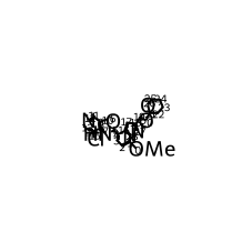 COc1ccc(C(=O)Nc2c(C)cncc2Cl)c2cc(COC3CCCCO3)nn12